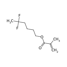 C=C(C)C(=O)OCCCCC(C)(F)F